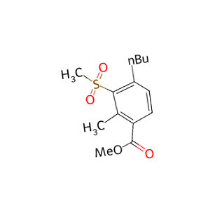 CCCCc1ccc(C(=O)OC)c(C)c1S(C)(=O)=O